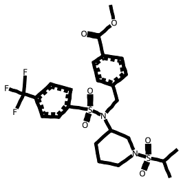 COC(=O)c1ccc(CN(C2CCCN(S(=O)(=O)C(C)C)C2)S(=O)(=O)c2ccc(C(F)(F)F)cc2)cc1